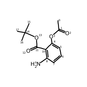 CC(=O)Oc1cccc(N)c1C(=O)OC(C)(C)C